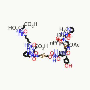 CCCC(=O)OCN(C(=O)[C@@H](NC(=O)[C@H]1CCCCN1C)C(C)CC)[C@H](C[C@@H](OC(C)=O)c1nc(C(=O)N[C@@H](Cc2ccc(O)cc2)C[C@H](C)C(=O)NNC(=O)OCCSSCCNC(=O)[C@H](Cc2ccccc2)NC(=O)[C@H](CC(=O)O)NC(=O)NCCCCCNC(=O)N[C@@H](CCC(=O)O)C(=O)O)cs1)C(C)C